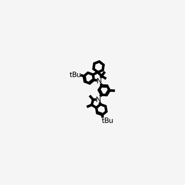 Cc1cc(N2C(C)C(C)C3C=C(C(C)(C)C)CCC32)cc(N2C3=CC=C(C(C)(C)C)CC3C3(CCCCC3)C2(C)C)c1